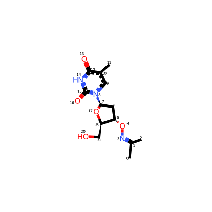 CC(C)=NO[C@H]1C[C@H](n2cc(C)c(=O)[nH]c2=O)O[C@@H]1CO